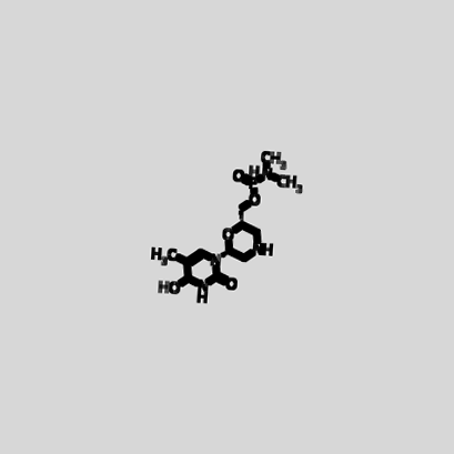 CC1=CN([C@H]2CNC[C@@H](CO[PH](=O)N(C)C)O2)C(=O)NC1O